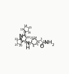 NC(=O)Cc1ccc(Nc2cc(C3=CCCC3)nc3c2CCC3)cc1